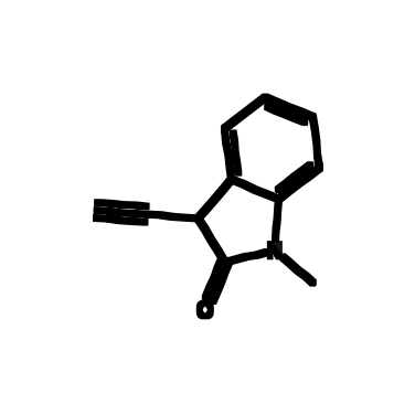 C#CC1C(=O)N(C)c2ccccc21